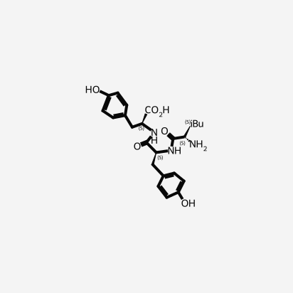 CC[C@H](C)[C@H](N)C(=O)N[C@@H](Cc1ccc(O)cc1)C(=O)N[C@@H](Cc1ccc(O)cc1)C(=O)O